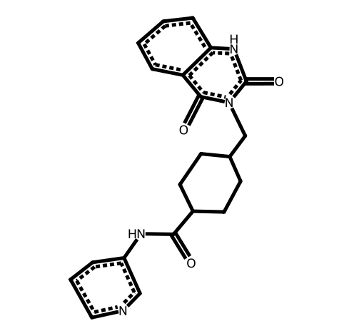 O=C(Nc1cccnc1)C1CCC(Cn2c(=O)[nH]c3ccccc3c2=O)CC1